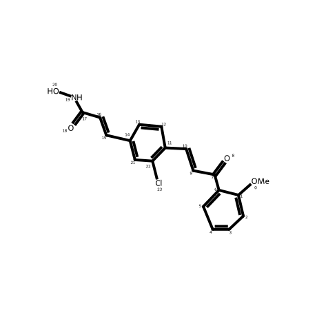 COc1ccccc1C(=O)/C=C/c1ccc(/C=C/C(=O)NO)cc1Cl